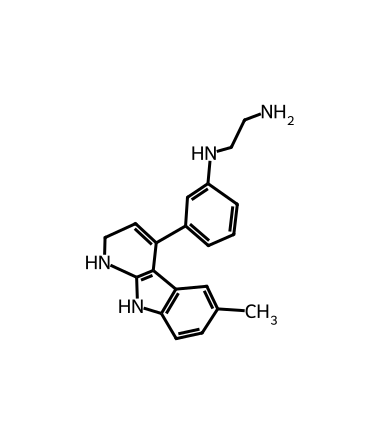 Cc1ccc2[nH]c3c(c2c1)C(c1cccc(NCCN)c1)=CCN3